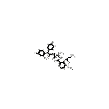 CCCC(=O)Oc1c(OC)ccnc1C(=O)N[C@@H](C)C(=O)N[C@@H](C)C(c1ccc(F)cc1)c1ccc(F)cc1